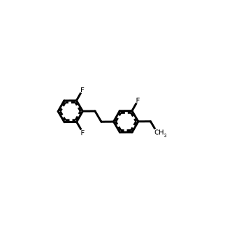 CCc1ccc(CCc2c(F)cccc2F)cc1F